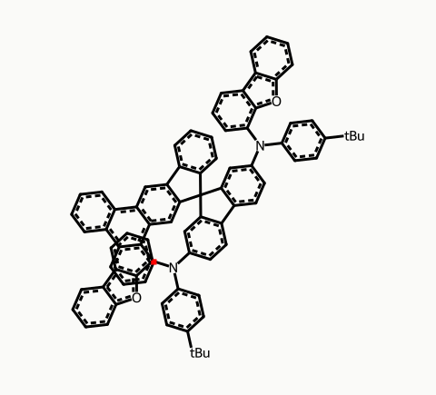 CC(C)(C)c1ccc(N(c2ccc3c(c2)C2(c4ccccc4-c4cc5c6ccccc6c6ccccc6c5cc42)c2cc(N(c4ccc(C(C)(C)C)cc4)c4cccc5c4oc4ccccc45)ccc2-3)c2cccc3c2oc2ccccc23)cc1